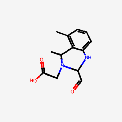 Cc1cccc2c1C(C)N(CC(=O)O)C(C=O)N2